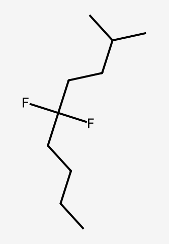 CCCCC(F)(F)CCC(C)C